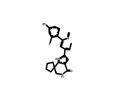 C=N/C(=C\C(=C/C)c1cc2c([nH]1)C1(CCCC1)CNC2=O)c1ccc(C(C)C)cc1F